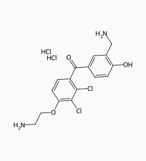 Cl.Cl.NCCOc1ccc(C(=O)c2ccc(O)c(CN)c2)c(Cl)c1Cl